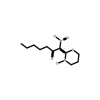 CCCCCC(=O)/C(=C1/SCCCN1Cl)[N+](=O)[O-]